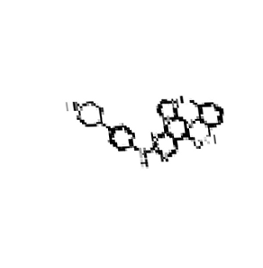 O=c1c2cnc(Nc3ccc(C4CCNCC4)cc3)nc2n2ccnc2n1-c1c(Cl)cccc1Cl